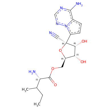 CCC(C)[C@H](N)C(=O)OC[C@H]1O[C@@](C#N)(c2ccc3c(N)ncnn23)[C@H](O)[C@@H]1O